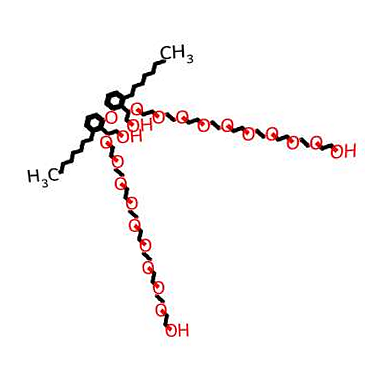 CCCCCCCCc1cccc(Oc2cccc(CCCCCCCC)c2C(CO)OCCOCCOCCOCCOCCOCCOCCOCCOCCO)c1C(CO)OCCOCCOCCOCCOCCOCCOCCOCCOCCO